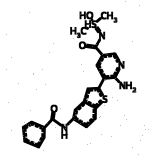 C[SH](C)(O)=NC(=O)c1cnc(N)c(-c2cc3cc(NC(=O)c4ccccc4)ccc3s2)c1